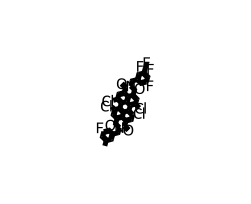 Cc1cc(F)cc(CN2C(=O)c3cc(Cl)c4c5c(Cl)cc6c7c(cc(Cl)c(c8c(Cl)cc(c3c48)C2=O)c75)C(=O)N(Cc2cc(F)cc(C(F)(F)F)c2)C6=O)c1